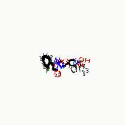 CC1(C)CC(O)(Cn2cnc(-c3ccccc3F)cc2=O)CCN1C(=O)O